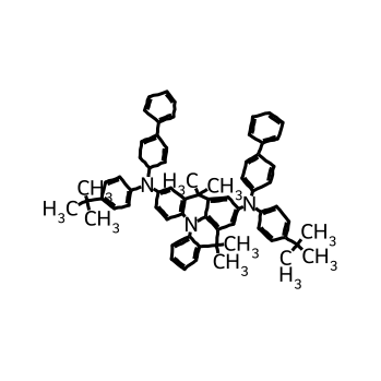 CC(C)(C)c1ccc(N(c2ccc(-c3ccccc3)cc2)c2cc3c4c(c2)C(C)(C)c2cc(N(c5ccc(C(C)(C)C)cc5)C5C=CC(c6ccccc6)=CC5)ccc2N4c2ccccc2C3(C)C)cc1